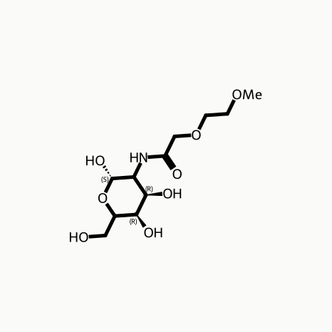 COCCOCC(=O)NC1[C@@H](O)[C@@H](O)C(CO)O[C@@H]1O